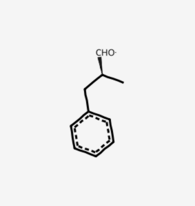 C[C@H]([C]=O)Cc1ccccc1